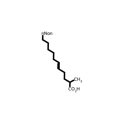 CCCCCCCCCCCCCC/C=C/CCC(C)C(=O)O